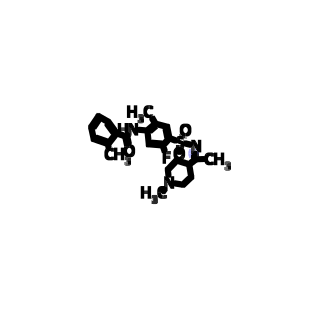 C/C(=N/S(=O)(=O)c1cc(C)c(NC(=O)c2ccccc2C)cc1F)C1CCN(C)CC1